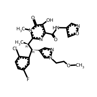 COCCn1cc([C@H](c2cc(F)ccc2Cl)[C@@H](C)c2nc(C(=O)Nc3cnoc3)c(O)c(=O)n2C)cn1